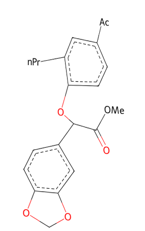 CCCc1cc(C(C)=O)ccc1OC(C(=O)OC)c1ccc2c(c1)OCO2